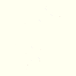 Cc1cc(F)c(-n2cn[n+](C)c2)cc1-n1cn[n+](C)c1